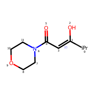 CC(C)/C(O)=C/C(=O)N1CCOCC1